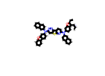 C=Cc1oc2cc(N(c3ccc4ccccc4c3)c3ccc4c(n3)sc3cc(N(c5ccc6ccccc6c5)c5ccc6c(c5)oc5ccccc56)nnc34)ccc2c1/C=C\C